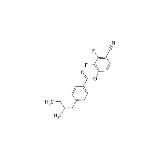 CCC(C)Cc1ccc(C(=O)Oc2ccc(C#N)c(F)c2F)cc1